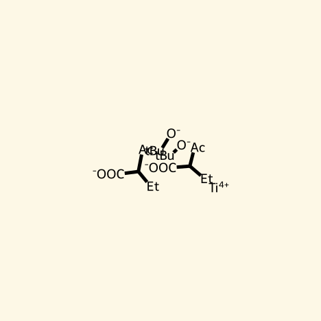 CC(C)(C)[O-].CC(C)(C)[O-].CCC(C(C)=O)C(=O)[O-].CCC(C(C)=O)C(=O)[O-].[Ti+4]